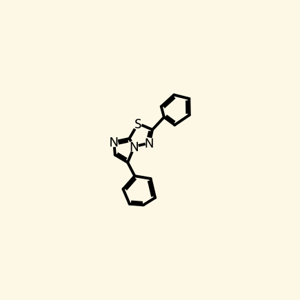 c1ccc(-c2nn3c(-c4ccccc4)cnc3s2)cc1